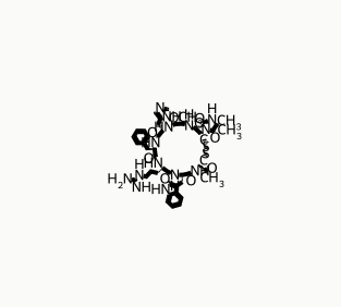 CC(=O)[C@@H]1CSSC[C@H](N2C(=O)NC(C)(C)C2=O)C(=O)N[C@H](C)C(=O)N[C@@H](Cc2cnc[nH]2)C(=O)N[C@H](Cc2ccccc2)C(=O)N[C@@H](CCCNC(=N)N)C(=O)N[C@@H](Cc2c[nH]c3ccccc23)C(=O)N1